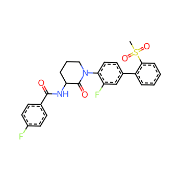 CS(=O)(=O)c1ccccc1-c1ccc(N2CCCC(NC(=O)c3ccc(F)cc3)C2=O)c(F)c1